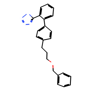 c1ccc(COCCCc2ccc(-c3ccccc3-c3nnn[nH]3)cc2)cc1